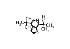 CC(C)(C)c1cnc(C(C)(C)C)c2sccc12